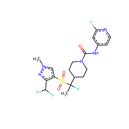 Cn1cc(S(=O)(=O)C(C)(F)C2CCN(C(=O)Nc3ccnc(F)c3)CC2)c(C(F)F)n1